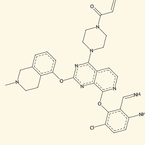 C=CC(=O)N1CCN(c2nc(Oc3cccc4c3CCN(C)C4)nc3c(Oc4c(Cl)ccc(N)c4C=N)nccc23)CC1